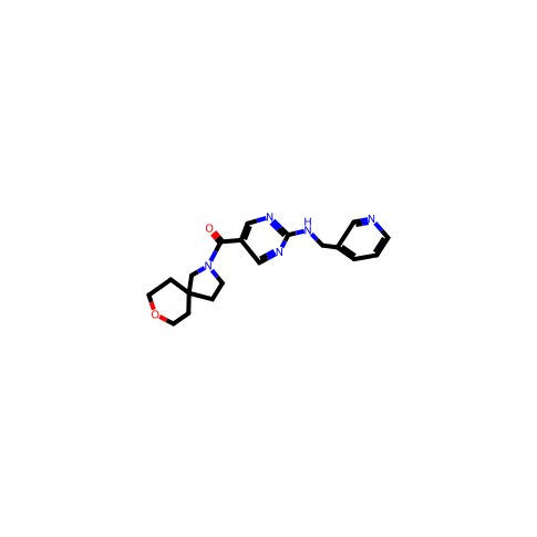 O=C(c1cnc(NCc2cccnc2)nc1)N1CCC2(CCOCC2)C1